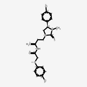 C=C(CCN1C[C@@H](c2ccc(Cl)cc2)N(C)C1=S)NC(=O)COc1ccc(Cl)cc1